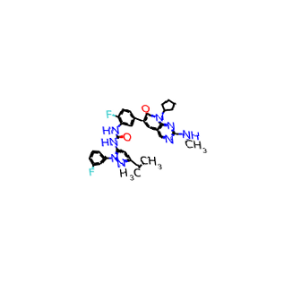 CNc1ncc2cc(-c3ccc(F)c(NC(=O)Nc4cc(C(C)C)nn4-c4cccc(F)c4)c3)c(=O)n(C3CCCC3)c2n1